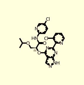 CC(C)OC[C@H](Oc1nc(-c2ncccc2Cl)nc2[nH]ncc12)C(=O)Nc1ccc(Cl)cn1